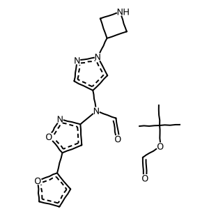 CC(C)(C)OC=O.O=CN(c1cnn(C2CNC2)c1)c1cc(-c2ccco2)on1